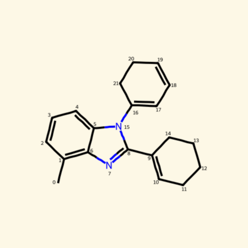 Cc1cccc2c1nc(C1=CCCCC1)n2C1=CC=CCC1